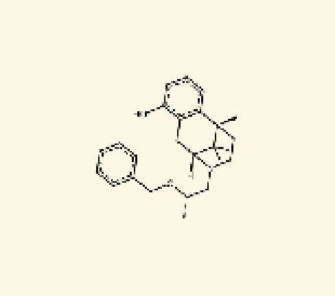 C[C@@H](CN1CC[C@@]2(C)c3cccc(O)c3C[C@@H]1C2(C)C)OCc1ccccc1